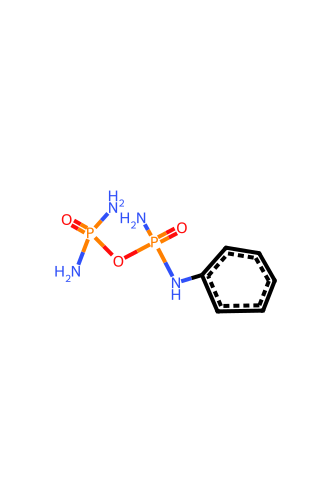 NP(N)(=O)OP(N)(=O)Nc1ccccc1